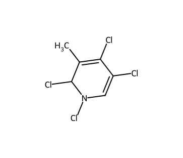 CC1=C(Cl)C(Cl)=CN(Cl)C1Cl